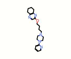 c1ccc(N2CCN(CCCCOc3cnc4c(n3)CCCC4)CC2)nc1